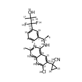 Cc1nc(N[C@H](C)c2cccc(C(F)(F)C(C)(C)O)c2)c2cc(C3(C#N)CC3)c(Cl)nc2n1